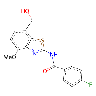 COc1ccc(CO)c2sc(NC(=O)c3ccc(F)cc3)nc12